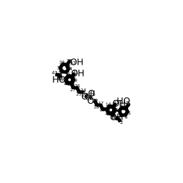 C=C(C)[C@H]1CCC(CO)=C[C@@H]1c1c(O)cc(CCCCO[N+](=O)OCCCCc2cc(O)c([C@H]3C=C(CO)CC[C@@H]3C(=C)C)c(O)c2)cc1O